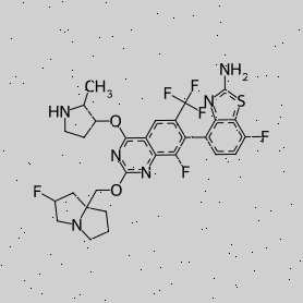 CC1NCCC1Oc1nc(OCC23CCCN2CC(F)C3)nc2c(F)c(-c3ccc(F)c4sc(N)nc34)c(C(F)(F)F)cc12